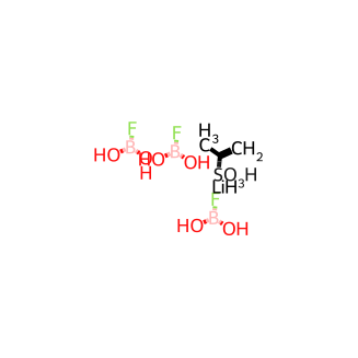 C=C(C)S(=O)(=O)O.OB(O)F.OB(O)F.OB(O)F.[LiH]